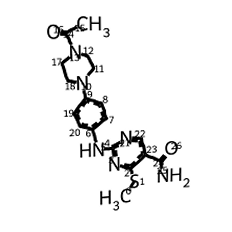 CSc1nc(Nc2ccc(N3CCN(C(C)=O)CC3)cc2)ncc1C(N)=O